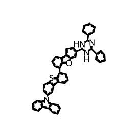 c1ccc(C2=NC(c3ccccc3)NC(c3ccc4c(c3)oc3c(-c5cccc6c5sc5ccc(-n7c8ccccc8c8ccccc87)cc56)cccc34)N2)cc1